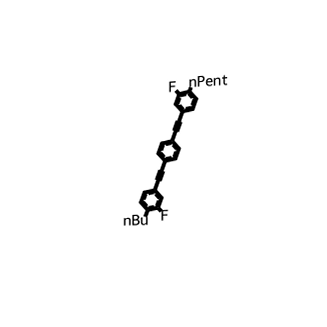 CCCCCc1ccc(C#Cc2ccc(C#Cc3ccc(CCCC)c(F)c3)cc2)cc1F